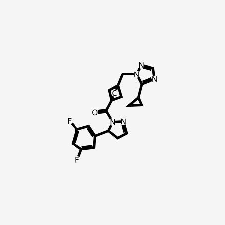 O=C(N1N=CCC1c1cc(F)cc(F)c1)C12CC(Cn3ncnc3C3CC3)(C1)C2